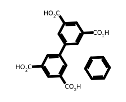 O=C(O)c1cc(C(=O)O)cc(-c2cc(C(=O)O)cc(C(=O)O)c2)c1.c1ccccc1